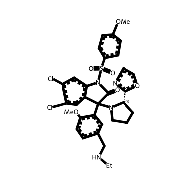 CCNCc1ccc(OC)c(C2(N3CCC[C@H]3c3ncco3)C(=O)N(S(=O)(=O)c3ccc(OC)cc3)c3cc(Cl)c(Cl)cc32)c1